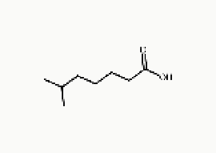 CC(C)CCC[CH]C(=O)O